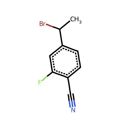 CC(Br)c1ccc(C#N)c(F)c1